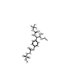 CCOC(O)C(NC(=O)OC(C)(C)C)c1ccc(OC(=O)CCS(=O)(=O)OC)cc1